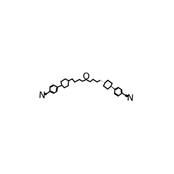 N#Cc1ccc(C2CCC(CCCCC(=O)CCCC[C@H]3CC[C@H](c4ccc(C#N)cc4)CC3)CC2)cc1